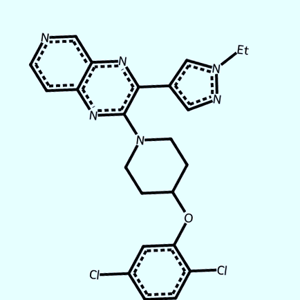 CCn1cc(-c2nc3cnccc3nc2N2CCC(Oc3cc(Cl)ccc3Cl)CC2)cn1